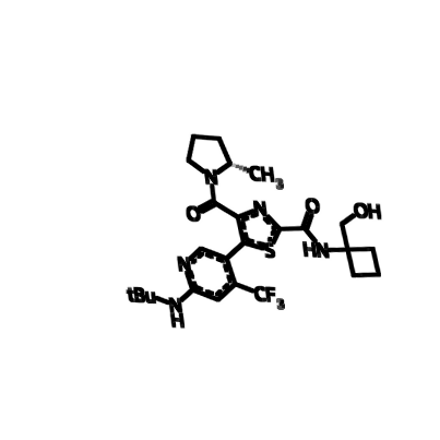 C[C@H]1CCCN1C(=O)c1nc(C(=O)NC2(CO)CCC2)sc1-c1cnc(NC(C)(C)C)cc1C(F)(F)F